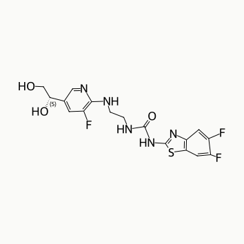 O=C(NCCNc1ncc([C@H](O)CO)cc1F)Nc1nc2cc(F)c(F)cc2s1